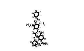 Cc1cc(C(Nc2ccc(C(=N)N)cc2)C(=O)NCc2ccccc2)cc(C)c1OCc1ccccc1